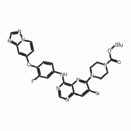 CC(C)(C)OC(=O)N1CCN(c2nc3c(Nc4ccc(Oc5ccn6ncnc6c5)c(F)c4)ncnc3cc2Br)CC1